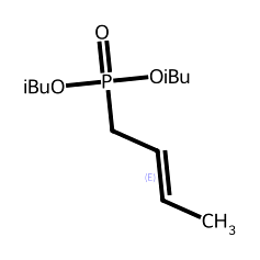 C/C=C/CP(=O)(OCC(C)C)OCC(C)C